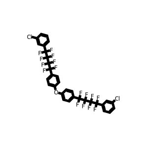 FC(F)(c1ccc(Oc2ccc(C(F)(F)C(F)(F)C(F)(F)C(F)(F)c3cccc(Cl)c3)cc2)cc1)C(F)(F)C(F)(F)C(F)(F)c1cccc(Cl)c1